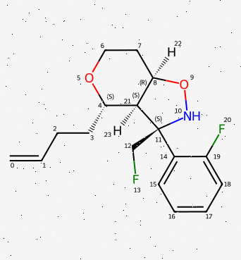 C=CCC[C@@H]1OCC[C@H]2ON[C@](CF)(c3ccccc3F)[C@@H]12